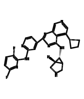 Fc1ccc(F)c(Nc2cc(-c3nc(N[C@@H]4C5CNC[C@@H]54)c4c(C5CCC5)cncc4n3)ccn2)n1